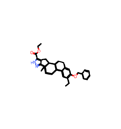 CCOC(=O)c1[nH]nc2c1CC1C3CCc4cc(OCc5ccccc5)c(CC)cc4C3CCC21C